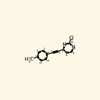 Cc1ccc(C#Cc2ccnc(Cl)n2)cc1